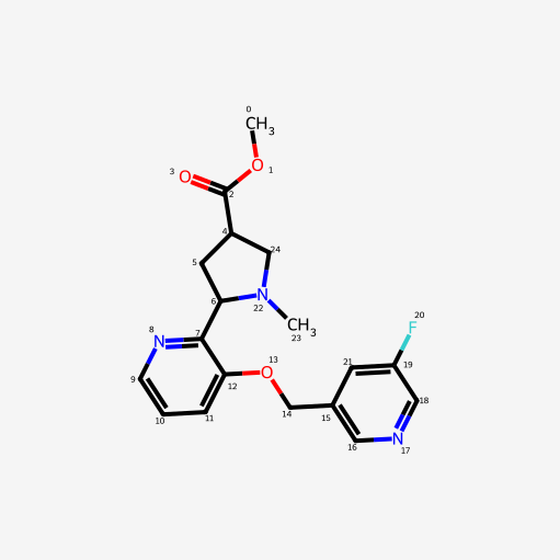 COC(=O)C1CC(c2ncccc2OCc2cncc(F)c2)N(C)C1